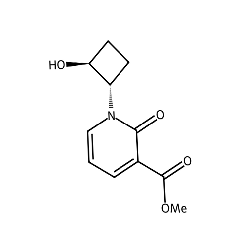 COC(=O)c1cccn([C@H]2CC[C@@H]2O)c1=O